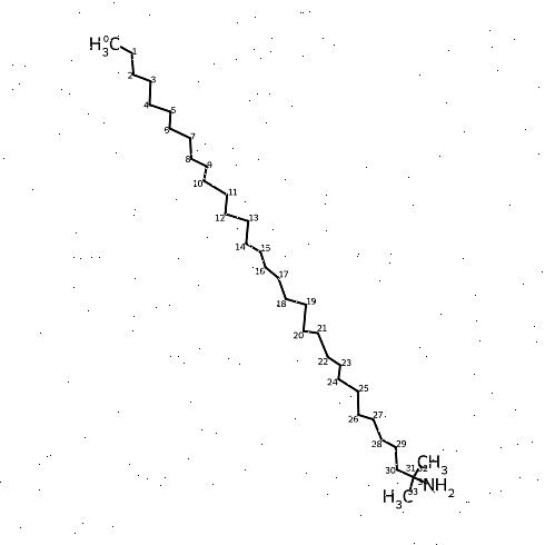 CCCCCCCCCCCCCCCCCCCCCCCCCCCCCCCC(C)(C)N